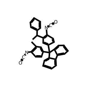 Cc1cc(C2(c3ccc(N=C=O)c(C(C)c4ccccc4)c3)c3ccccc3-c3ccccc32)ccc1N=C=O